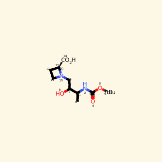 CC(NC(=O)OC(C)(C)C)C(O)CN1CC[C@H]1C(=O)O